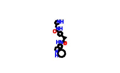 O=C(NCC1CCNC1)c1ccc(C2CC2C(=O)Nc2ccc3c(c2)CCNC32CCCCCCCCC2)cc1